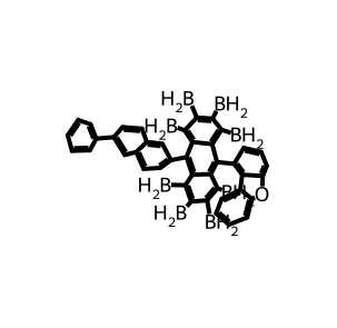 Bc1c(B)c(B)c2c(-c3cccc4oc5ccccc5c34)c3c(B)c(B)c(B)c(B)c3c(-c3ccc4cc(-c5ccccc5)ccc4c3)c2c1B